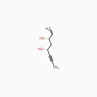 C=C[C@@H](O)C[C@@H](O)C#CC